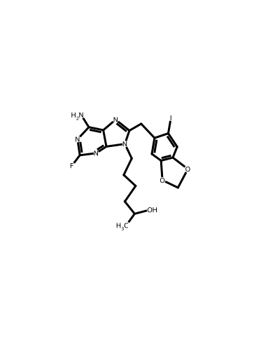 CC(O)CCCCn1c(Cc2cc3c(cc2I)OCO3)nc2c(N)nc(F)nc21